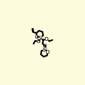 C=CC1CCC[Si](OCC)(C(CC[SiH]2CCCCO2)OCC)O1